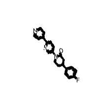 O=C1CC(c2ccc(F)cc2)CCN1c1ccc(-c2ccncc2)nc1